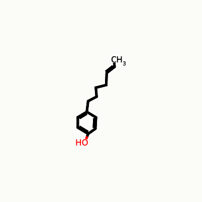 CC=CCCCCc1ccc(O)cc1